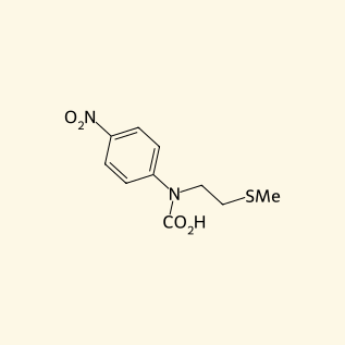 CSCCN(C(=O)O)c1ccc([N+](=O)[O-])cc1